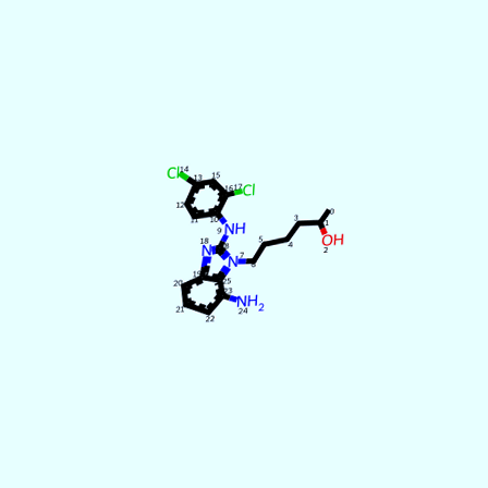 CC(O)CCCCn1c(Nc2ccc(Cl)cc2Cl)nc2cccc(N)c21